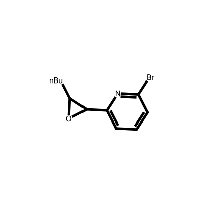 CCCCC1OC1c1cccc(Br)n1